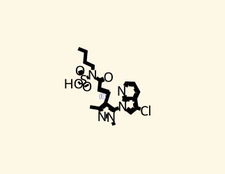 CCCCN(C(=O)/C=C/c1c(C)nn(C)c1-n1cc(Cl)c2cccnc21)S(=O)(=O)O